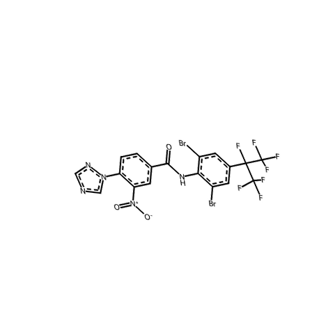 O=C(Nc1c(Br)cc(C(F)(C(F)(F)F)C(F)(F)F)cc1Br)c1ccc(-n2cncn2)c([N+](=O)[O-])c1